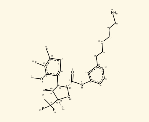 COc1c([C@H]2[C@H](C(=O)Nc3ccnc(CCOCCCN)c3)O[C@@](C)(C(F)(F)F)[C@H]2C)ccc(F)c1F